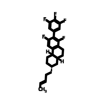 C/C=C/CC[C@@H]1CC[C@@H]2c3cc(F)c(-c4cc(F)c(F)c(F)c4)c(F)c3CC[C@@H]2C1